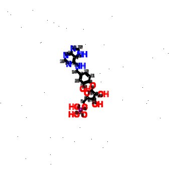 O=P(O)(O)OC[C@H]1OC(Oc2ccc(CNc3ncnc4nc[nH]c34)cc2O)[C@H](O)[C@@H]1O